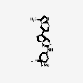 CNC1(C)CCC(Nc2ncc3c(-c4cnc5ncc(C)n5c4)ccn3n2)CC1